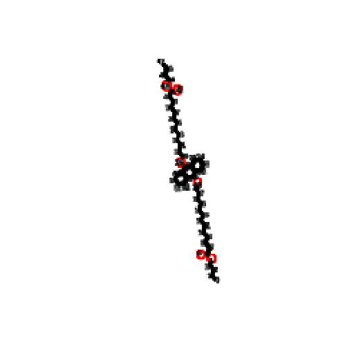 CCCCOC(=O)CCCCCCCCCCCCOc1c2ccccc2c(OCCCCCCCCCCCCC(=O)OCCCC)c2ccccc12